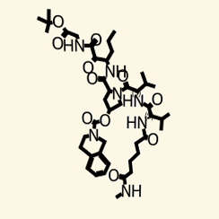 CCCC(NC(=O)C1CC(OC(=O)N2CCc3ccccc3C2)CN1C(=O)[C@@H](NC(=O)[C@@H](NC(=O)CCCCC(=O)NC)C(C)C)C(C)C)C(=O)C(=O)NCC(=O)OC(C)(C)C